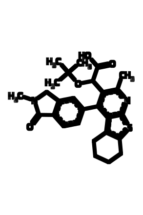 Cc1nc2sc3c(c2c(-c2ccc4c(c2)CN(C)C4=O)c1C(OC(C)(C)C)C(=O)O)CCCC3